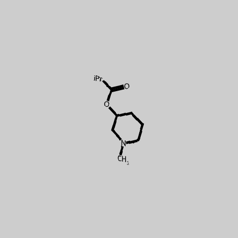 CC(C)C(=O)OC1CCCN(C)C1